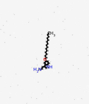 CCCCCCCCCCCCCCCOc1ccc2[nH]cc(CCN)c2c1